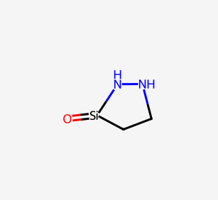 O=[Si]1CCNN1